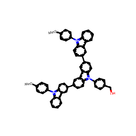 COc1ccc(-n2c3ccccc3c3cc(-c4ccc5c(c4)c4cc(-c6ccc7c(c6)c6ccccc6n7-c6ccc(OC)cc6)ccc4n5-c4ccc(CO)cc4)ccc32)cc1